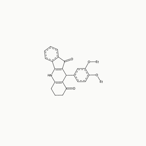 CCOc1ccc(C2C3=C(CCCC3=O)NC3=C2C(=O)c2ccccc23)cc1OCC